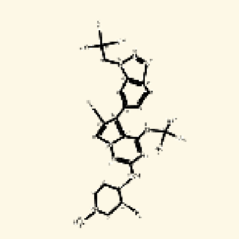 [2H]C([2H])([2H])Oc1nc(N[C@@H]2CCN(C)C[C@@H]2F)nn2cc(F)c(-c3ccc4nnn(CC(F)(F)F)c4c3)c12